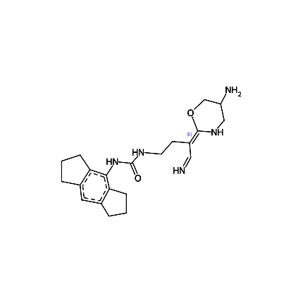 N=C/C(CCNC(=O)Nc1c2c(cc3c1CCC3)CCC2)=C1\NCC(N)CO1